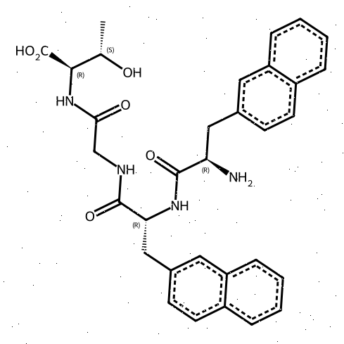 C[C@H](O)[C@@H](NC(=O)CNC(=O)[C@@H](Cc1ccc2ccccc2c1)NC(=O)[C@H](N)Cc1ccc2ccccc2c1)C(=O)O